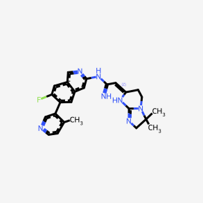 Cc1ccncc1-c1cc2cc(NC(=N)/C=C3/CCN4C(=NCC4(C)C)N3)ncc2cc1F